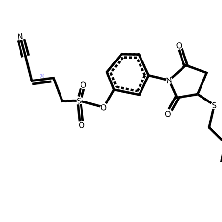 CCCSC1CC(=O)N(c2cccc(OS(=O)(=O)C/C=C/C#N)c2)C1=O